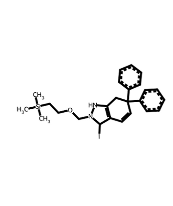 C[Si](C)(C)CCOCN1NC2=C(C=CC(c3ccccc3)(c3ccccc3)C2)C1I